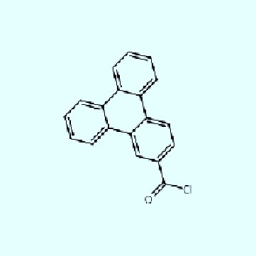 O=C(Cl)c1ccc2c3ccccc3c3ccccc3c2c1